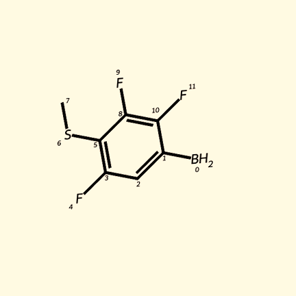 Bc1cc(F)c(SC)c(F)c1F